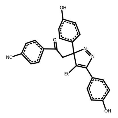 CCC1=C(c2ccc(O)cc2)N=NC1(CC(=O)c1ccc(C#N)cc1)c1ccc(O)cc1